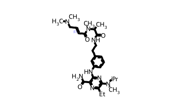 CCc1nc(C(N)=O)c(Nc2cccc(CCNC(=O)C(C)N(C)C(=O)/C=C/CN(C)C)c2)nc1N(C)C(C)C